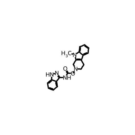 Cn1c2c(c3ccccc31)CCN(OC(=O)Nc1n[nH]c3ccccc13)C2